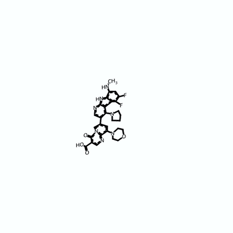 CNc1cc(F)c(F)c2c1[nH]c1ncc(-c3cc(N4CCOCC4)c4ncc(C(=O)O)c(=O)n4c3)c(N3CCCC3)c12